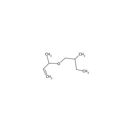 C=CC(C)OCC(C)CC